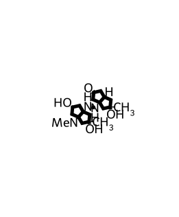 CN[C@]12C[C@@H](O)C[C@@]1(NN[C@]13CC(=O)C[C@H]1C[C@@](C)(O)C3)C[C@@](C)(O)C2